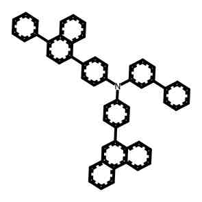 c1ccc(-c2cccc(N(c3ccc(-c4ccc(-c5ccccc5)c5ccccc45)cc3)c3ccc(-c4cc5ccccc5c5ccccc45)cc3)c2)cc1